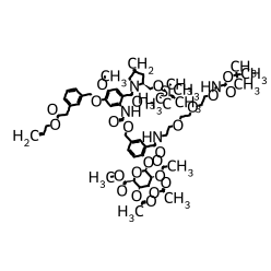 C=CCOC(=O)Cc1cccc(COc2cc(NC(=O)OCc3ccc(O[C@@H]4O[C@H](C(=O)OC)[C@@H](OC(C)=O)[C@H](OC(C)=O)[C@H]4OC(C)=O)c(C(=O)NCCOCCOCCONC(=O)OC(C)(C)C)c3)c(C(=O)N3CC(=C)C[C@H]3CO[Si](C)(C)C(C)(C)C)cc2OC)c1